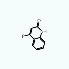 O=c1[c]c(F)c2ccccc2[nH]1